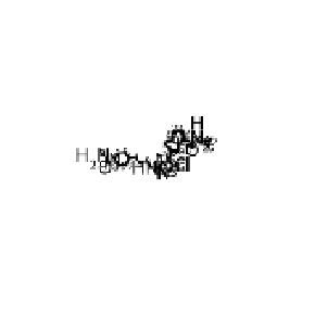 NC(=O)N1CCC(CCCNc2ncc(Cl)c(-c3cc4c(C(=O)NC5CC5)cccc4s3)n2)CC1